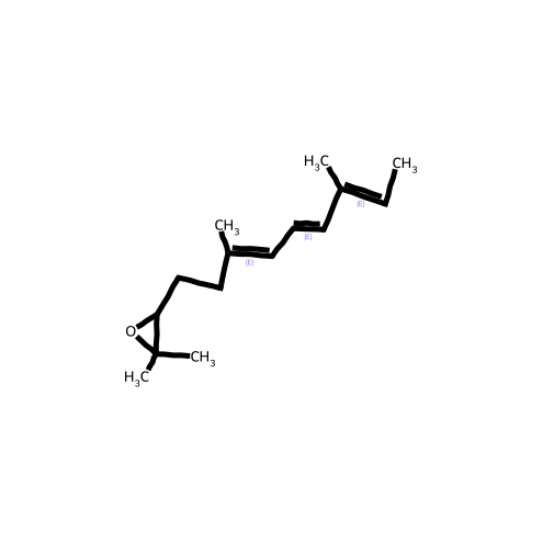 C/C=C(C)/C=C/C=C(\C)CCC1OC1(C)C